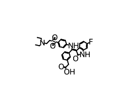 CCN(CC)CCS(=O)(=O)c1ccc(NC(=C2C(=O)Nc3cc(F)ccc32)c2cccc(CC(=O)O)c2)cc1